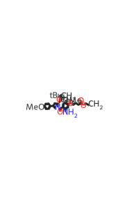 C=CCOC(=O)CCCOc1cc(N)c(C(=O)N2C=C(c3ccc(OC)cc3)C[C@H]2CO[Si](C)(C)C(C)(C)C)cc1OC